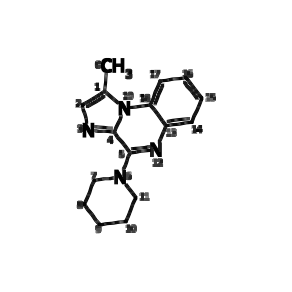 Cc1cnc2c(N3CCCCC3)nc3ccccc3n12